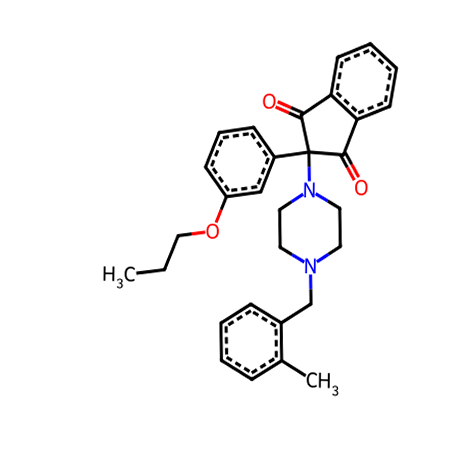 CCCOc1cccc(C2(N3CCN(Cc4ccccc4C)CC3)C(=O)c3ccccc3C2=O)c1